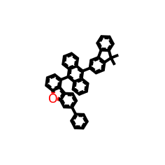 CC1(C)c2ccccc2-c2cc(-c3c4ccccc4c(-c4cccc5oc6cc(-c7ccccc7)ccc6c45)c4ccccc34)ccc21